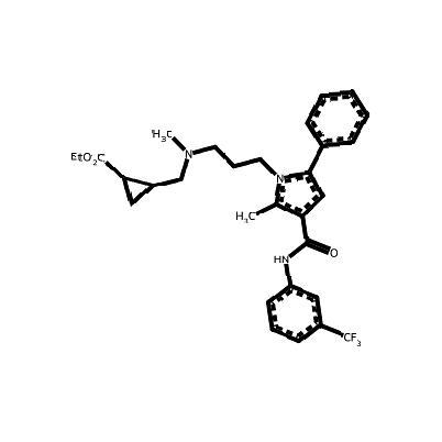 CCOC(=O)C1CC1CN(C)CCCn1c(-c2ccccc2)cc(C(=O)Nc2cccc(C(F)(F)F)c2)c1C